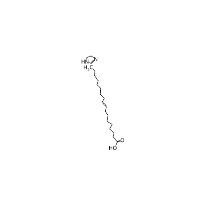 C1=NCCN1.CCCCCCCCC=CCCCCCCCC(=O)O